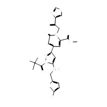 COC(=O)c1cc(-c2cc(NCc3ccc(Cl)s3)n(C(=O)C(C)(C)C)n2)cc(=O)n1CC(=O)c1cocn1